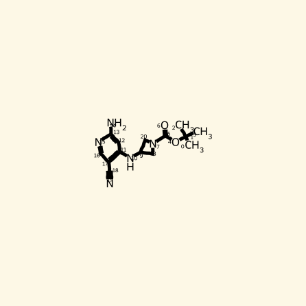 CC(C)(C)OC(=O)N1CC(Nc2cc(N)ncc2C#N)C1